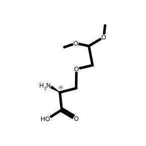 COC(COC[C@H](N)C(=O)O)OC